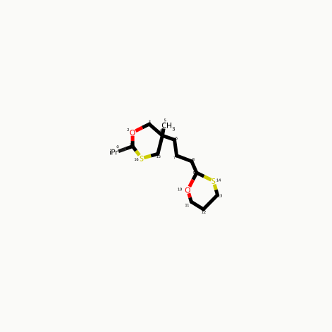 CC(C)C1OCC(C)(CCCC2OCCCS2)CS1